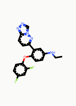 CCNc1ccc(Oc2ccc(F)cc2F)c(-c2ccc3nncn3n2)c1